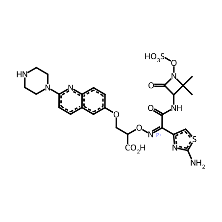 CC1(C)C(NC(=O)/C(=N\OC(COc2ccc3nc(N4CCNCC4)ccc3c2)C(=O)O)c2csc(N)n2)C(=O)N1OS(=O)(=O)O